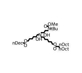 CCCCCCCCCCC(=O)OCCCCC(O)CN(CCCCN(C(=O)OC)C(C)(C)C)CC(O)CCCCCOC(=O)C(CCCCCCCC)CCCCCCCC